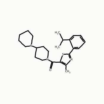 Cc1nc(-c2ccccc2C(C)C)sc1C(=O)N1CCC(N2CCCCC2)CC1